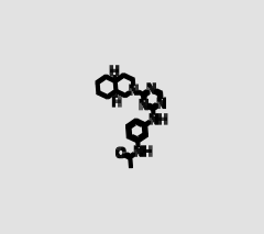 CC(=O)Nc1cccc(Nc2ncnc(N3CC[C@H]4CCCC[C@@H]4C3)n2)c1